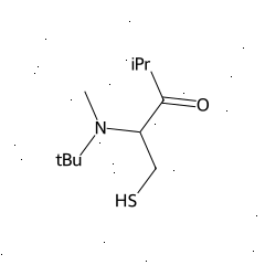 CC(C)C(=O)C(CS)N(C)C(C)(C)C